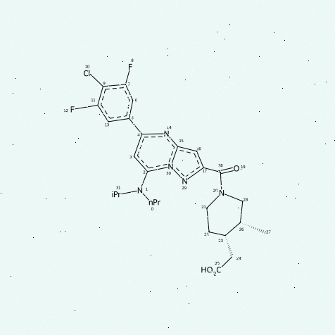 CCCN(c1cc(-c2cc(F)c(Cl)c(F)c2)nc2cc(C(=O)N3CC[C@@H](CC(=O)O)[C@@H](C)C3)nn12)C(C)C